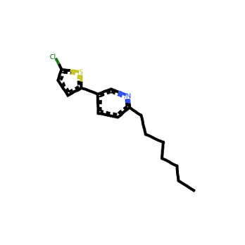 CCCCCCCc1ccc(-c2ccc(Cl)s2)cn1